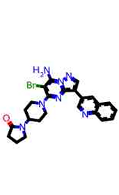 Nc1c(Br)c(N2CCC(N3CCCC3=O)CC2)nc2c(-c3cnc4ccccc4c3)cnn12